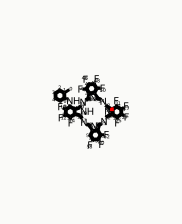 Cc1ccccc1Nc1c(F)c(F)c(F)c2c3nc4nc(nc5c6c(F)c(F)c(F)c(F)c6c(nc6nc(nc([nH]3)c12)-c1c(F)c(F)c(F)c(F)c1-6)n5F)-c1c-4cc(F)c(F)c1F